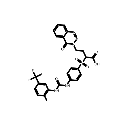 O=C(Nc1ccc(S(=O)(=O)C(CCn2nnc3ccccc3c2=O)C(=O)O)cc1)Nc1cc(C(F)(F)F)ccc1F